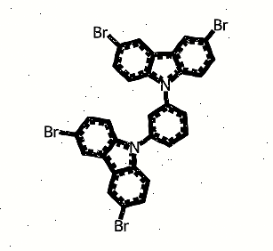 Brc1ccc2c(c1)c1cc(Br)ccc1n2-c1cccc(-n2c3ccc(Br)cc3c3cc(Br)ccc32)c1